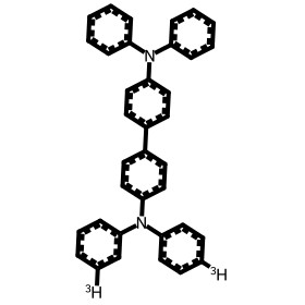 [3H]c1ccc(N(c2ccc(-c3ccc(N(c4ccccc4)c4ccccc4)cc3)cc2)c2cccc([3H])c2)cc1